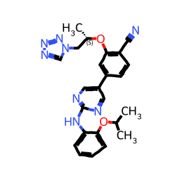 CC(C)Oc1ccccc1Nc1ncc(-c2ccc(C#N)c(O[C@@H](C)Cn3cnnn3)c2)cn1